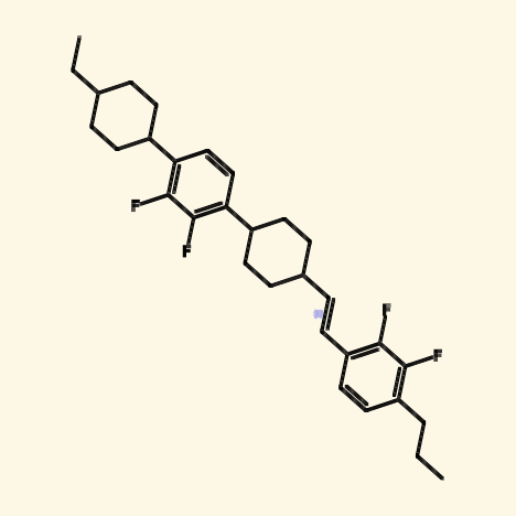 CCCc1ccc(/C=C/C2CCC(c3ccc(C4CCC(CC)CC4)c(F)c3F)CC2)c(F)c1F